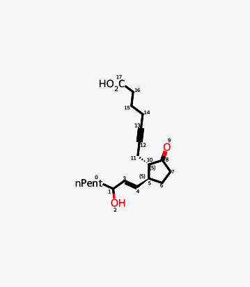 CCCCCC(O)C=C[C@@H]1CCC(=O)[C@H]1CC#CCCCC(=O)O